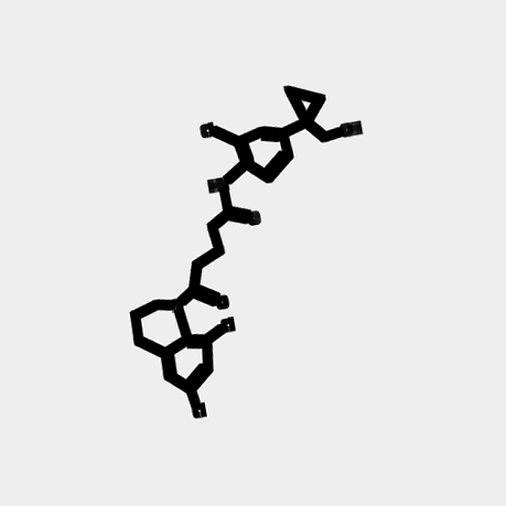 O=C(CCCC(=O)N1CCCc2cc(Cl)cc(Cl)c21)Nc1ccc(C2(CO)CC2)cc1Cl